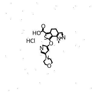 Cl.Cn1ncc2c1-c1c(Oc3cncc(N4CCOCC4)c3)sc(C(=O)O)c1CC2